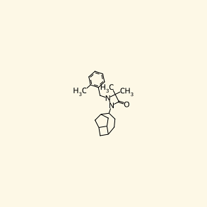 Cc1ccccc1CN1N(C2CCC3CC4CC2CC34)C(=O)C1(C)C